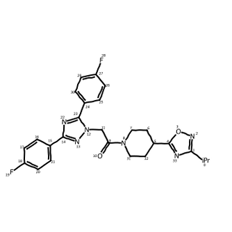 CC(C)c1noc(C2CCN(C(=O)Cn3nc(-c4ccc(F)cc4)nc3-c3ccc(F)cc3)CC2)n1